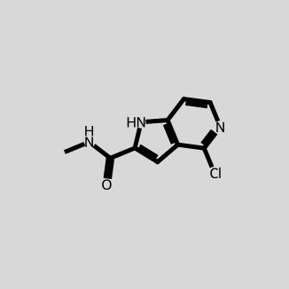 CNC(=O)c1cc2c(Cl)nccc2[nH]1